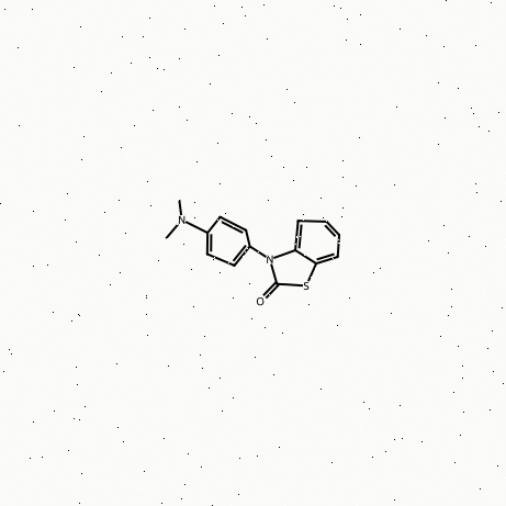 CN(C)c1ccc(-n2c(=O)sc3ccccc32)cc1